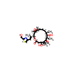 CC(=Cc1csc(C=O)n1)[C@@H]1C[C@@H]2O[C@H]2CCC[C@H](C)[C@H](O)[C@@H](C)C(=O)C(C)(C)[C@@H](O)CC(=O)O1